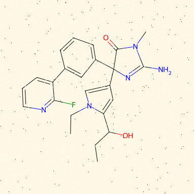 CCC(O)c1cc(C2(c3cccc(-c4cccnc4F)c3)N=C(N)N(C)C2=O)cn1CC